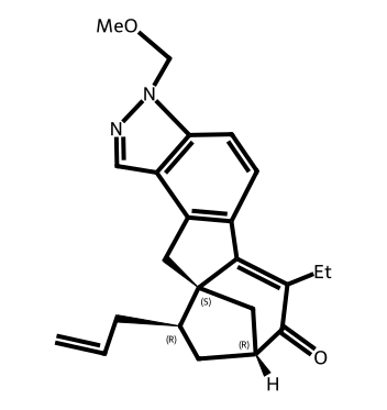 C=CC[C@@H]1C[C@@H]2C[C@]13Cc1c(ccc4c1cnn4COC)C3=C(CC)C2=O